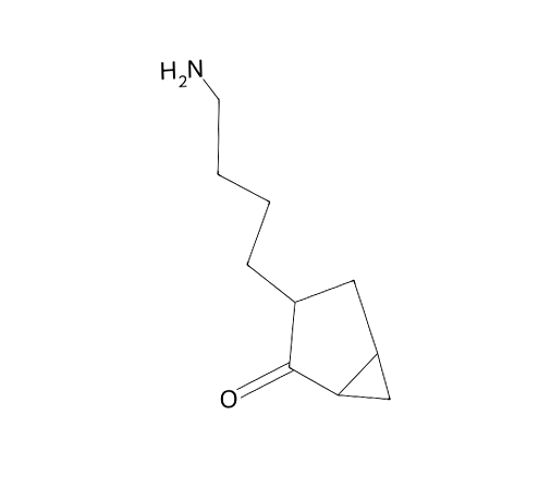 NCCCCC1CC2CC2C1=O